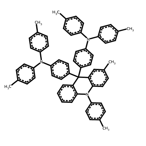 Cc1ccc(N(c2ccc(C)cc2)c2ccc(C3(c4ccc(N(c5ccc(C)cc5)c5ccc(C)cc5)cc4)c4ccccc4N(c4ccc(C)cc4)c4ccc(C)cc43)cc2)cc1